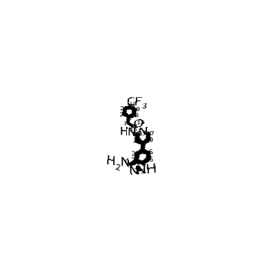 Nc1n[nH]c2ccc(-c3ccnc(NC(=O)Cc4ccc(C(F)(F)F)cc4)c3)cc12